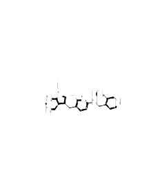 Fc1nc(NCc2ccncc2Cl)ccc1Cc1c[nH]c2ncncc12